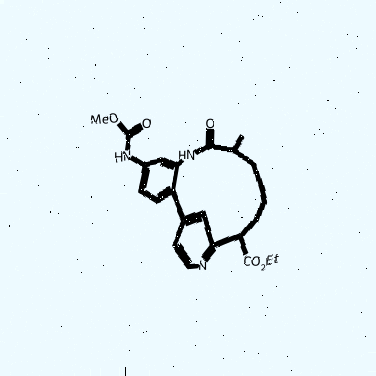 CCOC(=O)C1CCCC(C)C(=O)Nc2cc(NC(=O)OC)ccc2-c2ccnc1c2